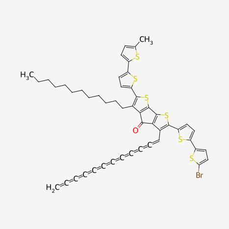 C=C=C=C=C=C=C=C=C=C=C=Cc1c(-c2ccc(-c3ccc(Br)s3)s2)sc2c1C(=O)c1c-2sc(-c2ccc(-c3ccc(C)s3)s2)c1CCCCCCCCCCCC